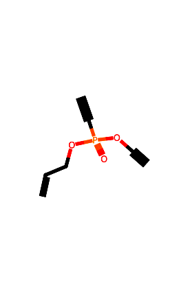 C#COP(=O)(C#C)OCC=C